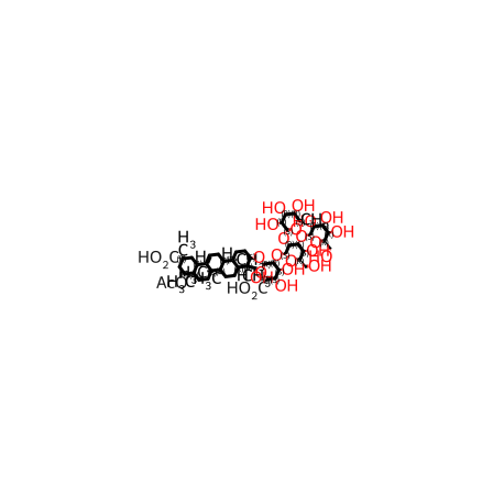 CC(=O)O[C@@H]1C[C@](C)(C(=O)O)C[C@H]2C3=CC[C@@H]4[C@@]5(C)CC[C@H](O[C@@H]6O[C@H](C(=O)O)[C@@H](O)[C@H](O)[C@H]6O[C@@H]6O[C@H](CO)[C@H](O)[C@H](O[C@@H]7O[C@H](CO)[C@H](O)[C@H](O)[C@H]7O)[C@H]6O[C@@H]6O[C@@H](C)[C@H](O)[C@@H](O)[C@H]6O)[C@](C)(CO)[C@@H]5CC[C@@]4(C)[C@]3(C)CC[C@@]12C